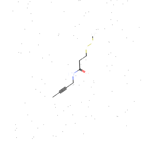 CC#CCNC(=O)CCSSCCC